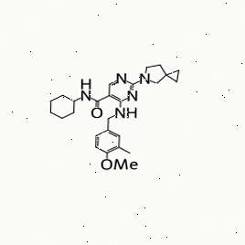 COc1ccc(CNc2nc(N3CCC4(CC4)C3)ncc2C(=O)NC2CCCCC2)cc1C